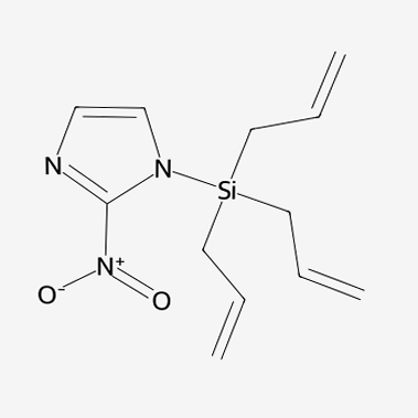 C=CC[Si](CC=C)(CC=C)n1ccnc1[N+](=O)[O-]